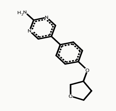 Nc1ncc(-c2ccc(OC3CCOC3)cc2)cn1